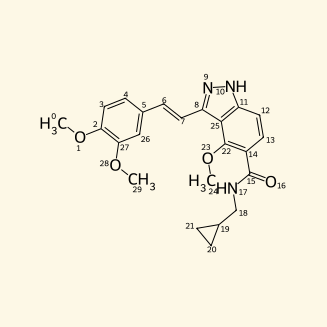 COc1ccc(C=Cc2n[nH]c3ccc(C(=O)NCC4CC4)c(OC)c23)cc1OC